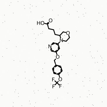 O=C(O)CCCC1COCCN1c1cncc(OCc2ccc(OC(F)(F)F)cc2)c1